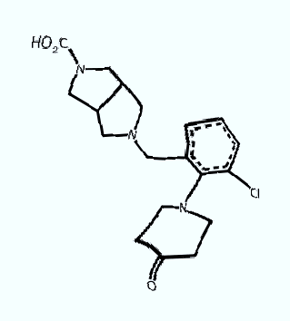 O=C1CCN(c2c(Cl)cccc2CN2CC3CN(C(=O)O)CC3C2)CC1